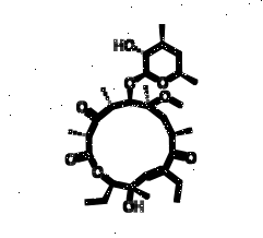 CC/C1=C\[C@](C)(O)[C@@H](CC)OC(=O)[C@H](C)C(=O)[C@H](C)[C@@H](O[C@@H]2O[C@H](C)C[C@H](C)[C@H]2O)[C@@](C)(OC)C[C@@H](C)C1=O